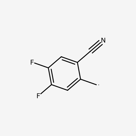 [CH2]c1cc(F)c(F)cc1C#N